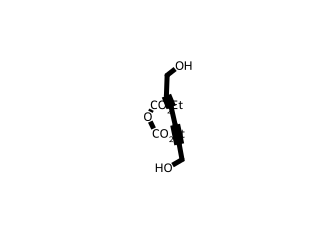 CCOC(=O)OC(=O)OCC.OCC#CC#CCO